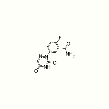 NC(=O)c1cc(-n2ncc(=O)[nH]c2=O)ccc1F